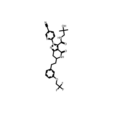 CC(C)(O)CNC(=O)c1c2c(nn1-c1ccc(C#N)cn1)CC(CCc1cccc(OCC(F)(F)F)c1)NC2=O